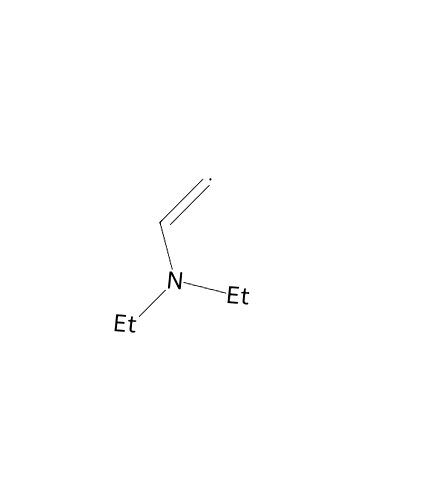 [CH]=CN(CC)CC